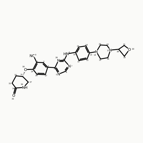 N#Cc1cc(-c2ncnc(Nc3ccc(N4CCN(C5COC5)CC4)cc3)n2)ccc1O[C@H]1CCC(=O)NC1